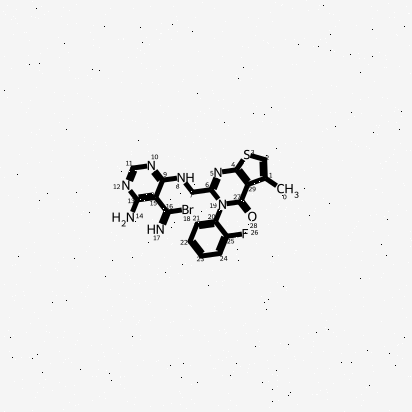 Cc1csc2nc(CNc3ncnc(N)c3C(=N)Br)n(-c3ccccc3F)c(=O)c12